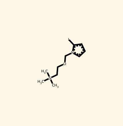 C[Si](C)(C)CCOCn1cccc1I